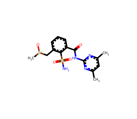 Cc1cc(C)nc(NC(=O)c2cccc(C[S+](C)[O-])c2S(N)(=O)=O)n1